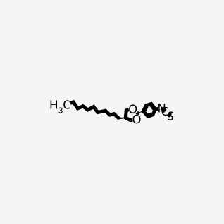 CCCCCCCCCCC[C@H]1CO[C@H](c2ccc(N=C=S)cc2)OC1